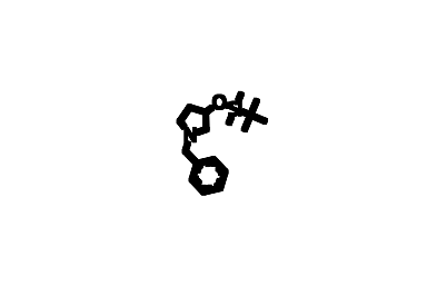 CC(C)(C)[Si](C)(C)OC1CCN(Cc2ccccc2)C1